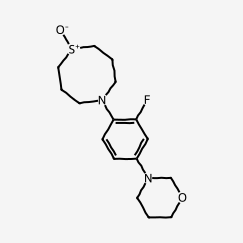 [O-][S+]1CCCN(c2ccc(N3CCCOC3)cc2F)CCC1